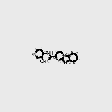 N#Cc1cnccc1NC(=O)c1ccn2c(n1)nc1ccccc12